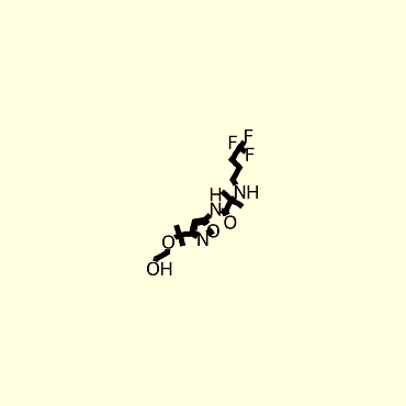 CC(C)(NCCCC(F)(F)F)C(=O)Nc1cc(C(C)(C)OCCO)no1